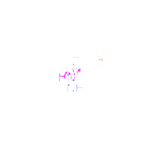 CC(=O)SCCCCCC(=O)N[C@@H](CC(=O)OC(C)(C)C)C(=O)NCCN